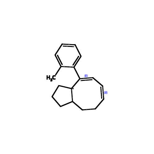 Cc1ccccc1/C1=C/C=C\CCC2CCC[C]12